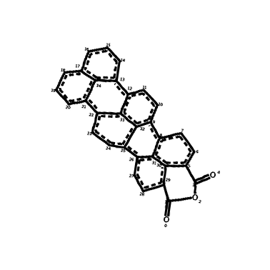 O=C1OC(=O)c2ccc3c4ccc5c6cccc7cccc(c8ccc(c9ccc1c2c93)c4c85)c76